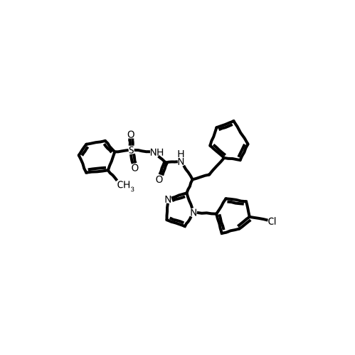 Cc1ccccc1S(=O)(=O)NC(=O)NC(Cc1ccccc1)c1nccn1-c1ccc(Cl)cc1